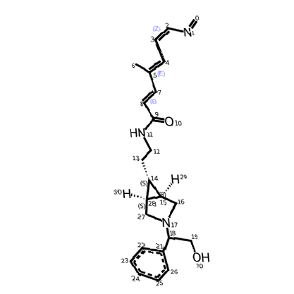 C=N\C=C/C=C(C)/C=C/C(=O)NCC[C@@H]1[C@H]2CN(C(CO)c3ccccc3)C[C@@H]12